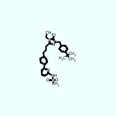 CCn1c(CCCc2ccc(-c3cccc(NS(C)(=O)=O)n3)cc2)nn(Cc2ccc(C(C)(C)C)cc2)c1=O